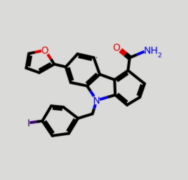 NC(=O)c1cccc2c1c1[c]cc(-c3ccco3)cc1n2Cc1ccc(I)cc1